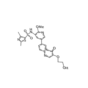 COc1ncc(-c2ccc3ncc(OCCO)c(=O)n3c2)cc1NS(=O)(=O)c1sc(C)nc1C